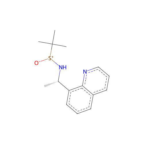 C[C@H](N[S+]([O-])C(C)(C)C)c1cccc2cccnc12